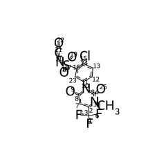 Cn1c(C(F)(F)F)cc(=O)n(-c2ccc(Cl)c(S(=O)(=O)N=C=O)c2)c1=O